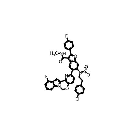 CNC(=O)c1c(-c2ccc(F)cc2)oc2cc(N(CCc3ccc(Cl)cc3)[SH](=O)=O)c(-c3ccc4c(n3)-c3cc5c(F)cccc5n3CO4)cc12